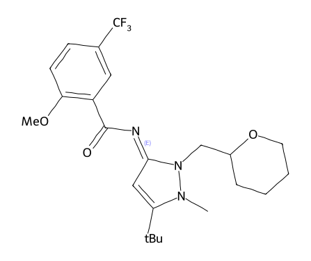 COc1ccc(C(F)(F)F)cc1C(=O)/N=c1\cc(C(C)(C)C)n(C)n1CC1CCCCO1